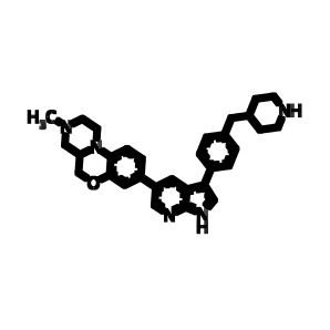 CN1CCN2c3ccc(-c4cnc5[nH]cc(-c6ccc(CC7CCNCC7)cc6)c5c4)cc3OCC2C1